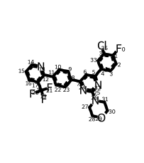 Fc1ccc(-c2cc(-c3ccc(-c4ncccc4C(F)(F)F)cc3)nc(N3CCOCC3)n2)cc1Cl